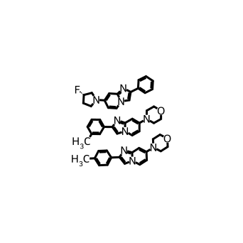 Cc1ccc(-c2cn3ccc(N4CCOCC4)cc3n2)cc1.Cc1cccc(-c2cn3ccc(N4CCOCC4)cc3n2)c1.F[C@H]1CCN(c2ccn3cc(-c4ccccc4)nc3c2)C1